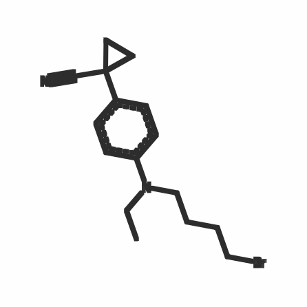 CCN(CCCCBr)c1ccc(C2(C#N)CC2)cc1